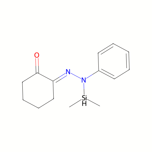 C[SiH](C)N(N=C1CCCCC1=O)c1ccccc1